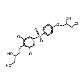 O=S(=O)(c1ccc(OCC(O)CCl)cc1)c1cc(Cl)c(OCC(O)CO)c(Cl)c1